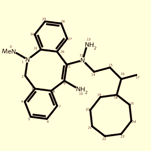 CNN1Cc2ccccc2/C(N)=C(/N(N)CCC(C)C2CCCCCCC2)c2ccccc21